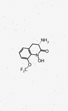 N[C@H]1Cc2cccc(OC(F)(F)F)c2N(O)C1=O